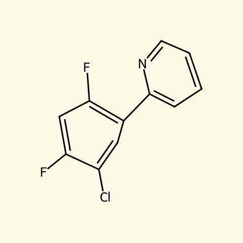 Fc1cc(F)c(-c2ccccn2)cc1Cl